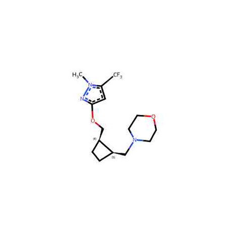 Cn1nc(OC[C@@H]2CC[C@@H]2CN2CCOCC2)cc1C(F)(F)F